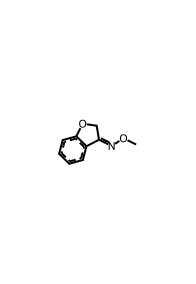 CON=C1COc2ccccc21